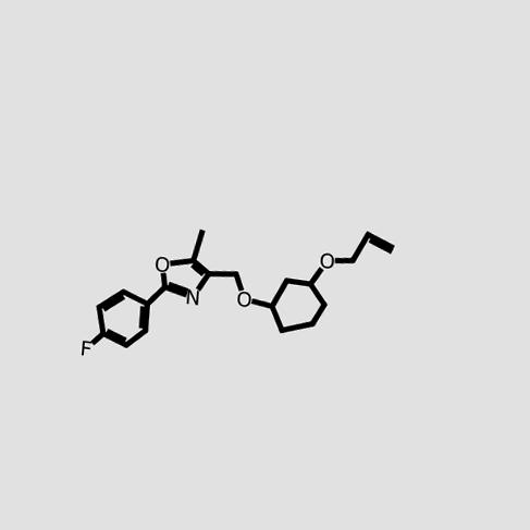 C=CCOC1CCCC(OCc2nc(-c3ccc(F)cc3)oc2C)C1